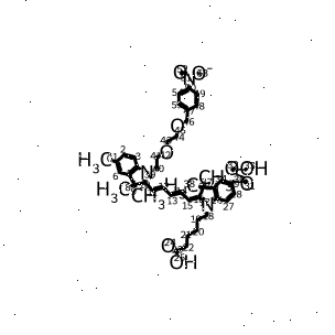 Cc1ccc2c(c1)C(C)(C)C(/C=C/C=C/C=C1/N(CCCCCC(=O)O)c3ccc(S(=O)(=O)O)cc3C1(C)C)=[N+]2CCOCCOCc1ccc([N+](=O)[O-])cc1